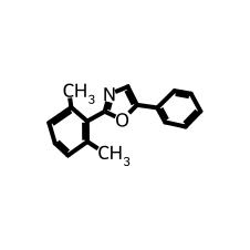 Cc1cccc(C)c1-c1ncc(-c2ccccc2)o1